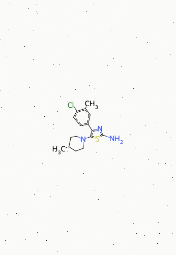 Cc1cc(-c2nc(N)sc2N2CCC(C)CC2)ccc1Cl